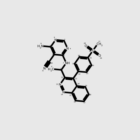 CC(Nc1ncnc(N)c1C#N)c1nnc2ccccc2c1-c1ccc(S(C)(=O)=O)cc1